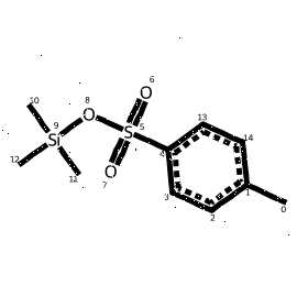 Cc1ccc(S(=O)(=O)O[Si](C)(C)C)cc1